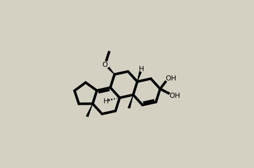 CO[C@H]1C[C@@H]2CC(O)(O)C=C[C@]2(C)[C@H]2CC[C@]3(C)CCCC3=C12